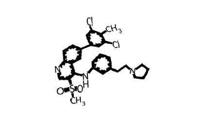 Cc1c(Cl)cc(-c2ccc3ncc(S(C)(=O)=O)c(Nc4cccc(CCN5CCCC5)c4)c3c2)cc1Cl